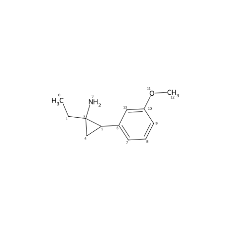 CCC1(N)CC1c1cccc(OC)c1